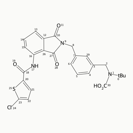 CC(C)(C)N(Cc1cccc(CN2C(=O)c3cccc(NC(=O)c4ccc(Cl)s4)c3C2=O)c1)C(=O)O